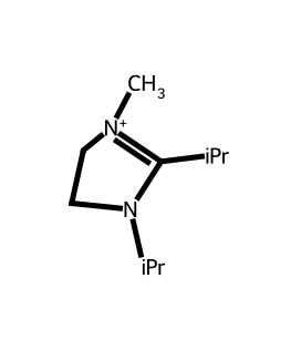 CC(C)C1=[N+](C)CCN1C(C)C